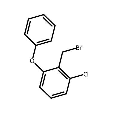 Clc1cccc(Oc2ccccc2)c1CBr